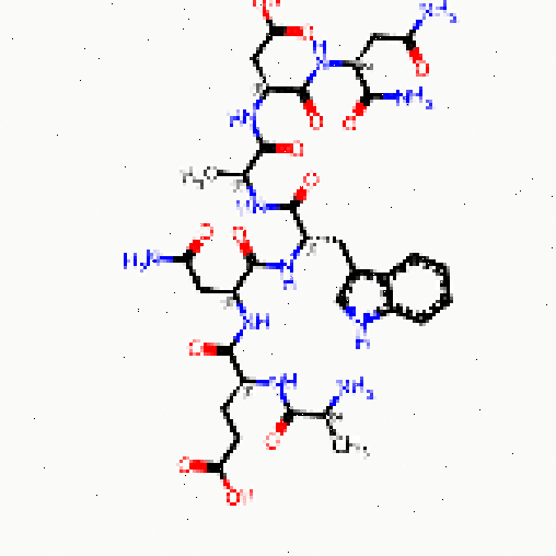 C[C@H](N)C(=O)N[C@@H](CCC(=O)O)C(=O)N[C@@H](CC(N)=O)C(=O)N[C@@H](Cc1c[nH]c2ccccc12)C(=O)N[C@@H](C)C(=O)N[C@@H](CC(=O)O)C(=O)N[C@@H](CC(N)=O)C(N)=O